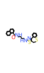 O=C(NCCCCNc1nc2c(s1)CCSc1ccccc1-2)c1cccc2ccccc12